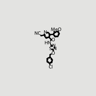 COc1ccccc1-c1cnc(CC#N)cc1C(=O)Nc1nnc(OCc2ccc(Cl)cc2)s1